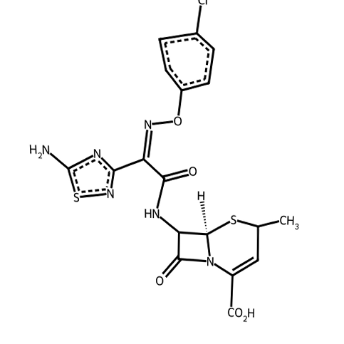 CC1C=C(C(=O)O)N2C(=O)C(NC(=O)/C(=N\Oc3ccc(Cl)cc3)c3nsc(N)n3)[C@H]2S1